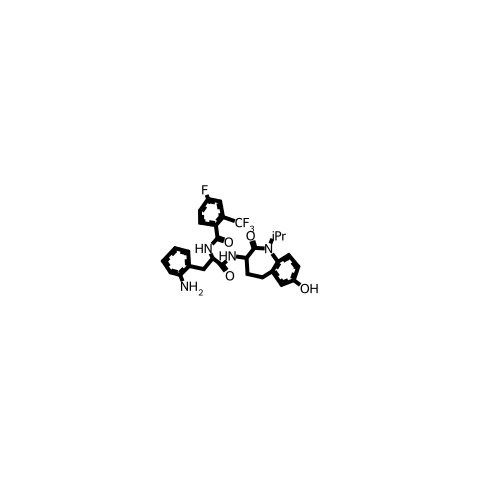 CC(C)N1C(=O)C(NC(=O)C(Cc2ccccc2N)NC(=O)c2ccc(F)cc2C(F)(F)F)CCc2cc(O)ccc21